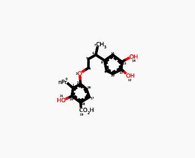 CCCc1c(OCCC(C)c2ccc(O)c(O)c2)ccc(C(=O)O)c1O